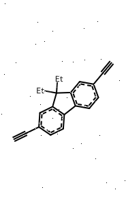 C#Cc1ccc2c(c1)C(CC)(CC)c1cc(C#C)ccc1-2